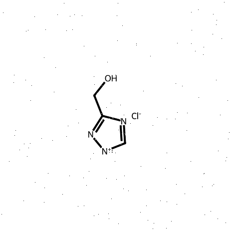 OCC1=N[N+]C=N1.[Cl-]